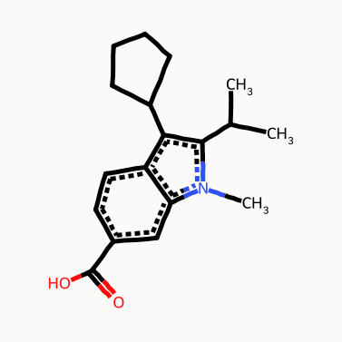 CC(C)c1c(C2CCCC2)c2ccc(C(=O)O)cc2n1C